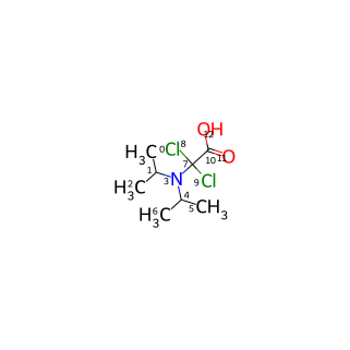 CC(C)N(C(C)C)C(Cl)(Cl)C(=O)O